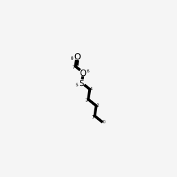 CCCCCSOC=O